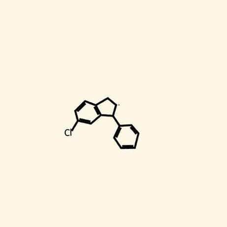 Clc1ccc2c(c1)C(c1ccccc1)[CH]C2